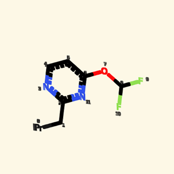 CC(C)Cc1n[c]cc(OC(F)F)n1